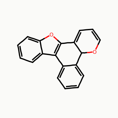 C1=COC2C(=C1)c1oc3ccccc3c1-c1ccccc12